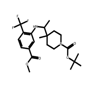 COC(=O)c1ccc(C(F)(F)F)c(NC(C)C2(C)CCN(C(=O)OC(C)(C)C)CC2)c1